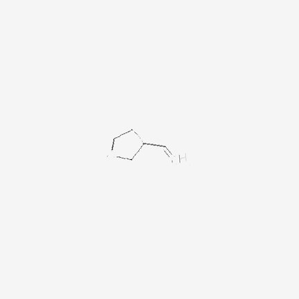 C=CC1CCOC1